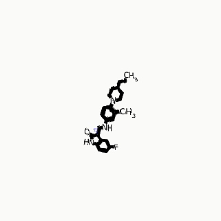 CCCC1CCN(c2ccc(N/C=C3/C(=O)Nc4ccc(F)cc43)cc2C)CC1